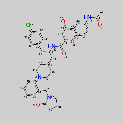 CC(=O)Nc1ccc2oc(C(=O)N[C@H](C=C3CCN(c4ccccc4CN4CCCC4=O)CC3)Cc3ccc(Cl)cc3)cc(=O)c2c1